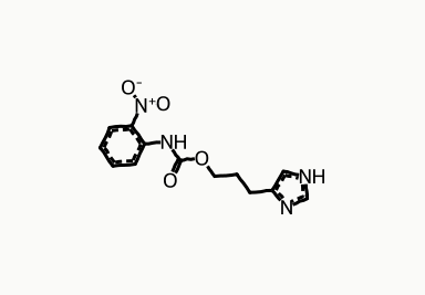 O=C(Nc1ccccc1[N+](=O)[O-])OCCCc1c[nH]cn1